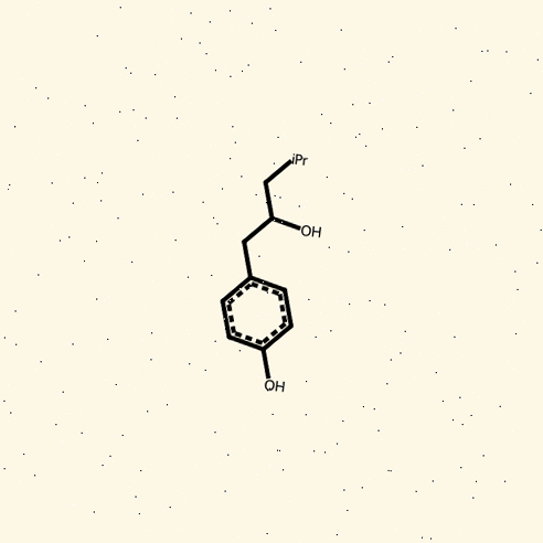 CC(C)CC(O)Cc1ccc(O)cc1